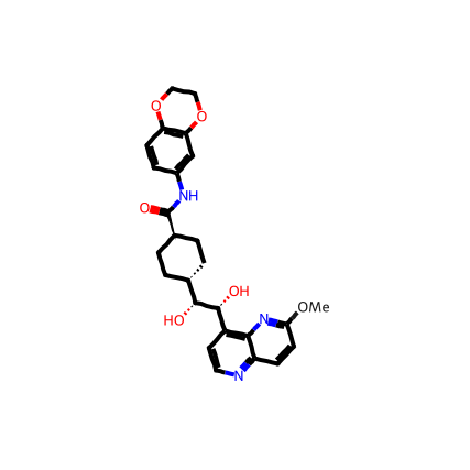 COc1ccc2nccc([C@@H](O)[C@H](O)[C@H]3CC[C@H](C(=O)Nc4ccc5c(c4)OCCO5)CC3)c2n1